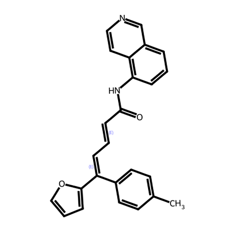 Cc1ccc(/C(=C\C=C\C(=O)Nc2cccc3cnccc23)c2ccco2)cc1